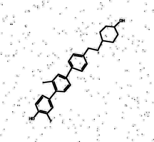 Cc1cc(-c2ccc(CCC3CCC(O)CC3)cc2)ccc1-c1ccc(O)c(F)c1